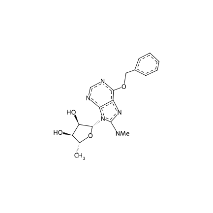 CNc1nc2c(OCc3ccccc3)ncnc2n1[C@@H]1O[C@H](C)[C@@H](O)[C@H]1O